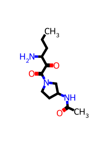 CCCC(N)C(=O)C(=O)N1CCC(NC(C)=O)C1